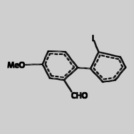 COc1ccc(-c2ccccc2I)c(C=O)c1